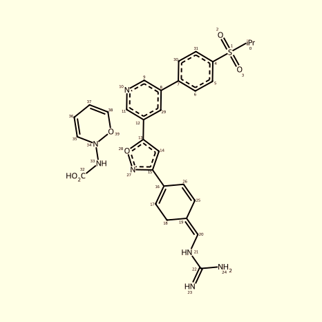 CC(C)S(=O)(=O)c1ccc(-c2cncc(-c3cc(C4=CCC(=CNC(=N)N)C=C4)no3)c2)cc1.O=C(O)NN1C=CC=CO1